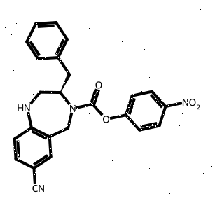 N#Cc1ccc2c(c1)CN(C(=O)Oc1ccc([N+](=O)[O-])cc1)[C@H](Cc1ccccc1)CN2